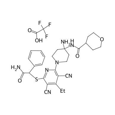 CCc1c(C#N)c(SC(C(N)=O)c2ccccc2)nc(N2CCC(N)(NC(=O)C3CCOCC3)CC2)c1C#N.O=C(O)C(F)(F)F